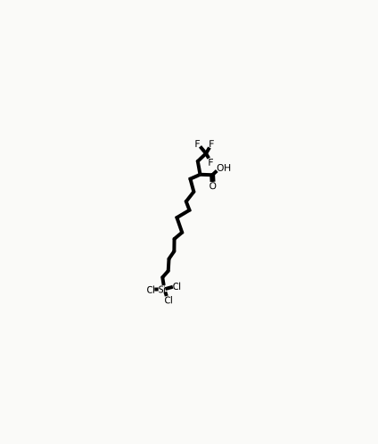 O=C(O)C(CCCCCCCCCCC[Si](Cl)(Cl)Cl)CC(F)(F)F